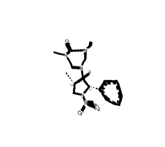 C[C@H]1CN([N+](=O)[O-])[C@@H](c2ccccc2)C1(F)N1CN(C)C(=O)N(C)C1